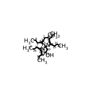 CCCC1C(CCC)N1C(CC(=O)O)(N1C(CCC)C1CCC)N1C(CCC)C1CCC